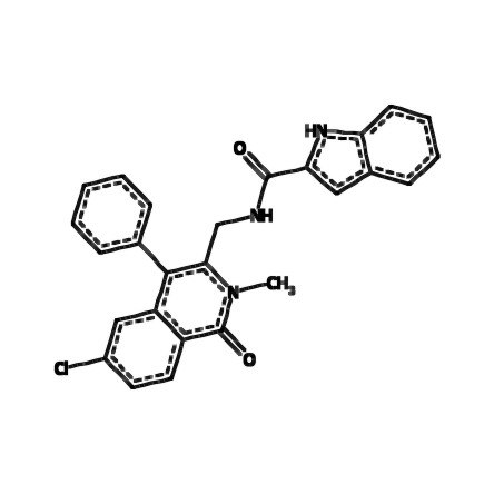 Cn1c(CNC(=O)c2cc3ccccc3[nH]2)c(-c2ccccc2)c2cc(Cl)ccc2c1=O